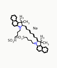 CC1(C)/C(=C/C=C/C=C/C=C/C2N(CCCCS(=O)(=O)O)c3ccc4ccccc4c3C2(C)C)N(CCCCS(=O)(=O)O)c2ccc3ccccc3c21.[Na]